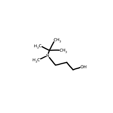 CN(CCCO)C(C)(C)C